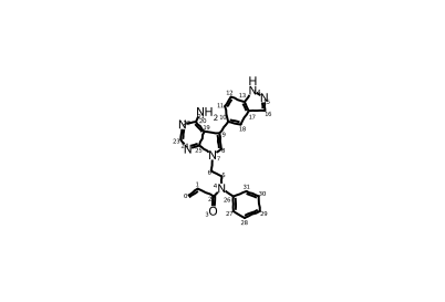 C=CC(=O)N(CCn1cc(-c2ccc3[nH]ncc3c2)c2c(N)ncnc21)c1ccccc1